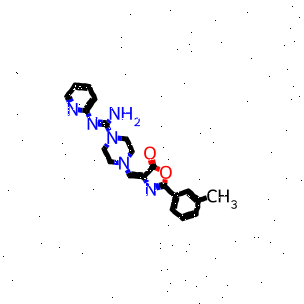 Cc1cccc(C2=NC(=CN3CCN(C(N)=Nc4ccccn4)CC3)C(=O)O2)c1